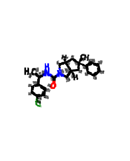 C[C@@H](NC(=O)N1C[C@@H]2C[C@](C)(c3ccccc3)C[C@@H]2C1)c1ccc(Cl)cc1